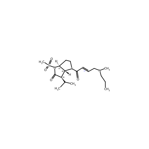 CCCN(C)C/C=C/C(=O)N1CC[C@H]2[C@H]1[C@@H](C(C)C)C(=O)N2S(C)(=O)=O